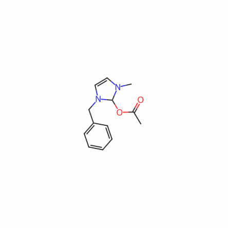 CC(=O)OC1N(C)C=CN1Cc1ccccc1